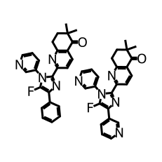 CC1(C)CCc2nc(-c3nc(-c4ccccc4)c(F)n3-c3cccnc3)ccc2C1=O.CC1(C)CCc2nc(-c3nc(-c4cccnc4)c(F)n3-c3cccnc3)ccc2C1=O